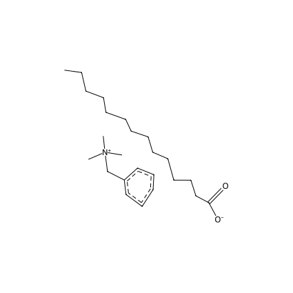 CCCCCCCCCCCCCC(=O)[O-].C[N+](C)(C)Cc1ccccc1